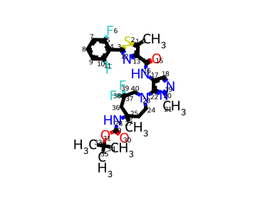 Cc1sc(-c2c(F)cccc2F)nc1C(=O)Nc1cnn(C)c1N1CCC(C)(NC(=O)OC(C)(C)C)CC(F)(F)C1